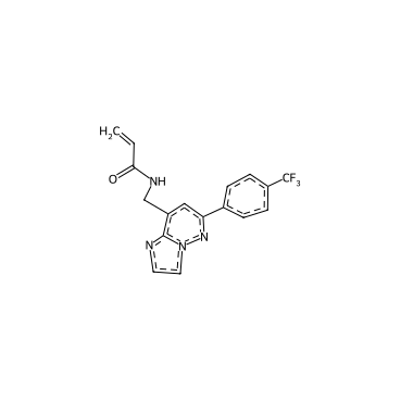 C=CC(=O)NCc1cc(-c2ccc(C(F)(F)F)cc2)nn2ccnc12